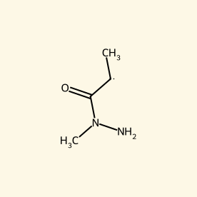 C[CH]C(=O)N(C)N